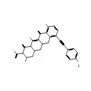 COc1ccc(C#Cc2ccc(O)c3c2C[C@H]2C[C@H]4CC(O)C(C(N)=O)C(=O)[C@@]4(O)C(O)=C2C3=O)cc1